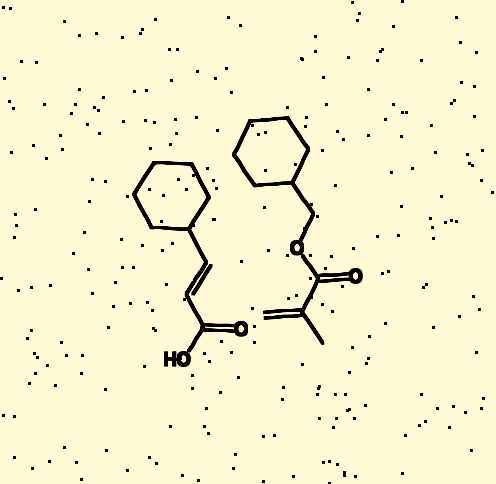 C=C(C)C(=O)OCC1CCCCC1.O=C(O)C=CC1CCCCC1